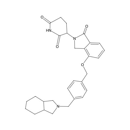 O=C1CCC(N2Cc3c(OCc4ccc(CN5CC6CCCCC6C5)cc4)cccc3C2=O)C(=O)N1